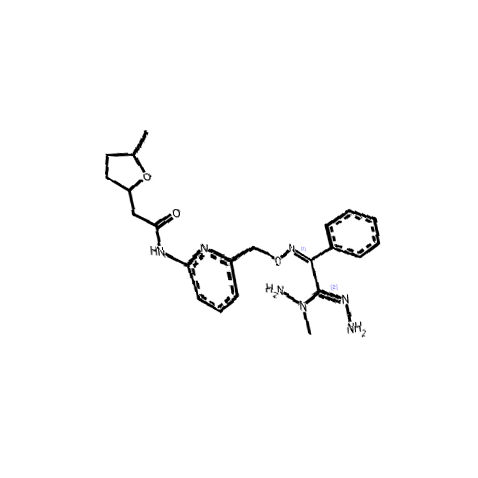 CC1CCC(CC(=O)Nc2cccc(CO/N=C(\C(=N\N)N(C)N)c3ccccc3)n2)O1